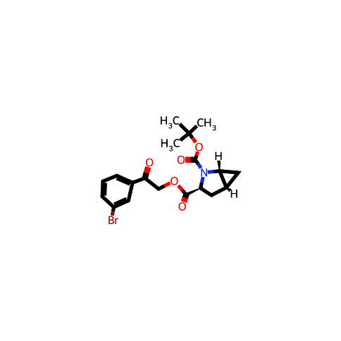 CC(C)(C)OC(=O)N1[C@@H]2C[C@@H]2C[C@H]1C(=O)OCC(=O)c1cccc(Br)c1